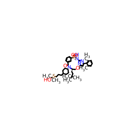 Cc1cccc(C)c1-c1cc2nc(n1)NS(=O)(=O)c1cccc(c1)C(=O)N(C1CCC(CCCSC(C)(C)O)CC1)[C@H](CCC(C)(C)C)CO2